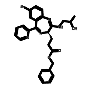 CC(O)CNC1=Nc2ccc(Br)cc2C(c2ccccn2)=N[C@H]1CCC(=O)OCc1ccccc1